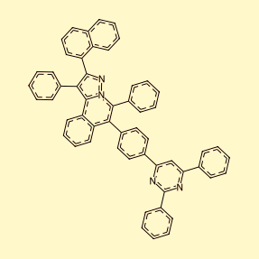 c1ccc(-c2cc(-c3ccc(-c4c(-c5ccccc5)n5nc(-c6cccc7ccccc67)c(-c6ccccc6)c5c5ccccc45)cc3)nc(-c3ccccc3)n2)cc1